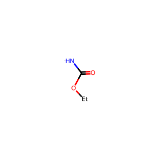 [CH2]COC([NH])=O